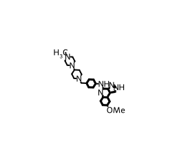 COc1ccc2nc(Nc3ccc(CN4CCC(N5CCN(C)CC5)CC4)cc3)c3n[nH]cc3c2c1